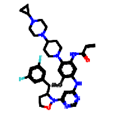 C=CC(=O)Nc1cc(Nc2cc(N3OCCC3Cc3cc(F)cc(F)c3)ncn2)c(OC)cc1N1CCC(N2CCN(C3CC3)CC2)CC1